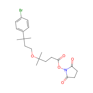 CC(C)(CCC(=O)ON1C(=O)CCC1=O)OCCC(C)(C)c1ccc(Br)cc1